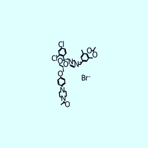 CC(=O)Oc1c(C)cc(C[n+]2ccn(C[C@]3(c4ccc(Cl)cc4Cl)OC[C@H](COc4ccc(N5CCN(C(C)=O)CC5)cc4)O3)c2)cc1C.[Br-]